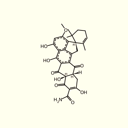 COc1cc(O)c2c(O)c3c(c4c2c1[C@@]1(C4)C(C)=CCCC1(C)C)C(=O)[C@@H]1CC(O)=C(C(N)=O)C(=O)[C@]1(O)C3=O